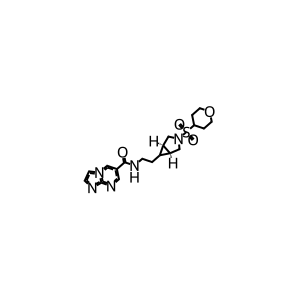 O=C(NCCC1[C@H]2CN(S(=O)(=O)C3CCOCC3)C[C@@H]12)c1cnc2nccn2c1